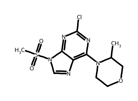 CC1COCCN1c1nc(Cl)nc2c1ncn2S(C)(=O)=O